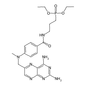 CCOP(=O)(CCCNC(=O)c1ccc(N(C)Cc2cnc3nc(N)nc(N)c3n2)cc1)OCC